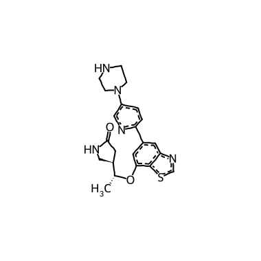 C[C@@H](Oc1cc(-c2ccc(N3CCNCC3)cn2)cc2ncsc12)[C@H]1CNC(=O)C1